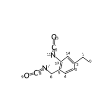 CCc1ccc(CN=C=O)c(N=C=O)c1